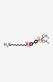 CCCCCCCCCCCCC(=O)Oc1ccc(-c2ccc(C(=O)OC(C)CCC)cc2)cc1